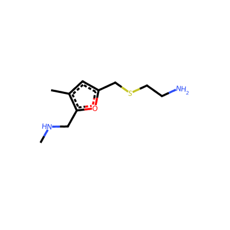 CNCc1oc(CSCCN)cc1C